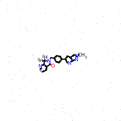 [2H]C1([2H])c2ncccc2C(=O)N1Cc1ccc(-c2cnc3nn(C)cc3c2)cc1